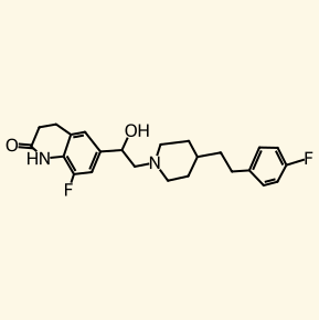 O=C1CCc2cc(C(O)CN3CCC(CCc4ccc(F)cc4)CC3)cc(F)c2N1